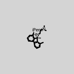 CCC[C@@H](C)Cc1ccccc1[C@](C)(NCCN(C)C)c1ccccc1C